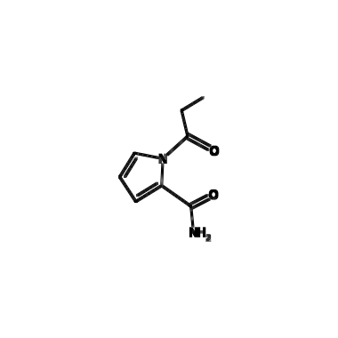 CCC(=O)n1cccc1C(N)=O